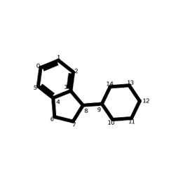 c1ccc2c(c1)CC[C]2C1CCCCC1